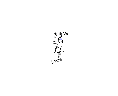 CN/C=C(\C=N)NC(=O)c1ccc(C2CC2N)cc1